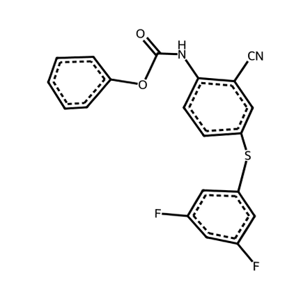 N#Cc1cc(Sc2cc(F)cc(F)c2)ccc1NC(=O)Oc1ccccc1